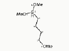 COCCCC[SiH](OC)OC